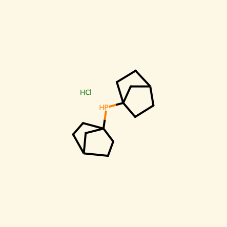 C1CC2(PC34CCC(CC3)C4)CCC1C2.Cl